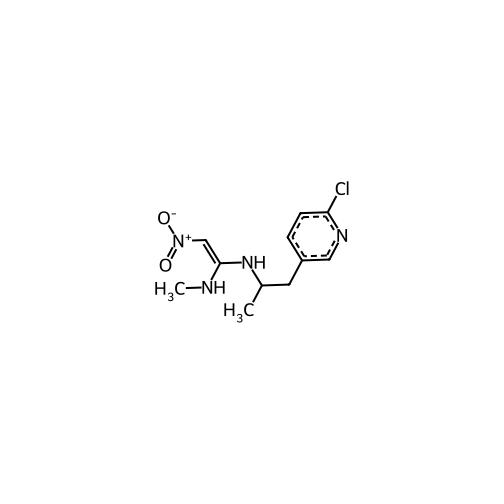 CNC(=C[N+](=O)[O-])NC(C)Cc1ccc(Cl)nc1